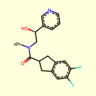 CCCN(C[C@@H](O)c1cccnc1)C(=O)C1Cc2cc(F)c(F)cc2C1